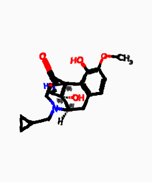 COc1ccc2c(c1O)[C@]13CCN(CC4CC4)[C@H](C2)[C@@]1(O)CCNC(=O)C3